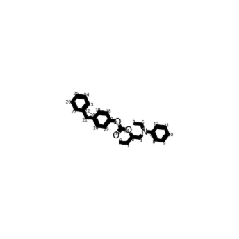 CCC(CN(CC)c1ccccc1)OC(=O)Oc1ccc(Cc2ccccc2)cc1